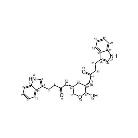 O=C(CCc1c[nH]c2ccccc12)O[C@@H]1COC(O)[C@H](OC(=O)CCc2c[nH]c3ccccc23)C1